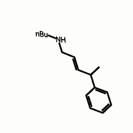 CCCCNC/C=C/C(C)c1ccccc1